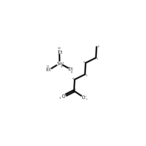 CCCCCC(=O)[O-].C[CH2][Sn+]([CH2]C)[CH2]C